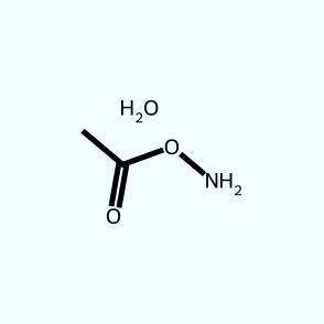 CC(=O)ON.O